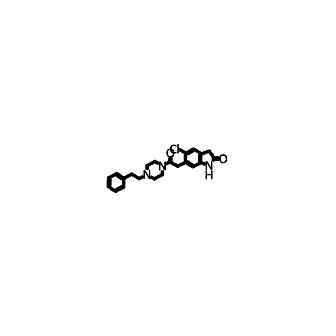 O=C1Cc2cc(Cl)c(CC(=O)N3CCN(CCc4ccccc4)CC3)cc2N1